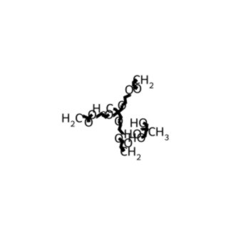 C=CC(=O)OCCCOCC(CC)(COCCCOC(=O)C=C)COCCCOC(=O)C=C.CC(CO)(CO)CO